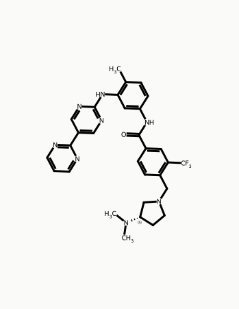 Cc1ccc(NC(=O)c2ccc(CN3CC[C@H](N(C)C)C3)c(C(F)(F)F)c2)cc1Nc1ncc(-c2ncccn2)cn1